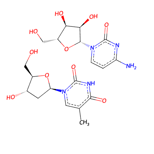 Cc1cn([C@H]2C[C@H](O)[C@@H](CO)O2)c(=O)[nH]c1=O.Nc1ccn([C@@H]2O[C@H](CO)[C@@H](O)[C@H]2O)c(=O)n1